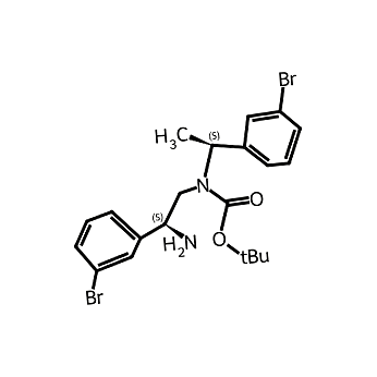 C[C@@H](c1cccc(Br)c1)N(C[C@@H](N)c1cccc(Br)c1)C(=O)OC(C)(C)C